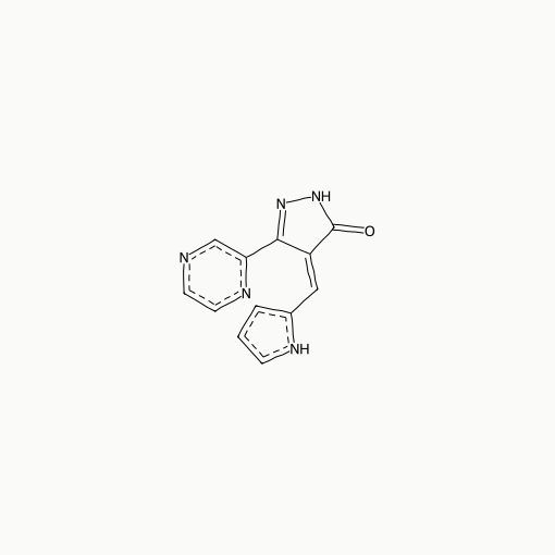 O=C1NN=C(c2cnccn2)/C1=C\c1ccc[nH]1